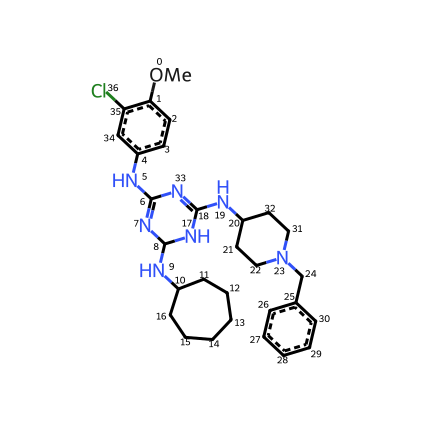 COc1ccc(NC2=NC(NC3CCCCCC3)NC(NC3CCN(Cc4ccccc4)CC3)=N2)cc1Cl